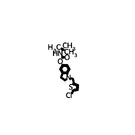 CC(C)(C)NC(=O)Oc1ccc2c(c1)CCN2Cc1ccc(Cl)s1